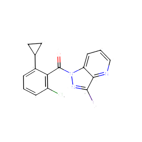 O=C(c1c(Cl)cccc1C1CC1)n1nc(I)c2ncccc21